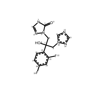 O=C1[N]C=NN1CC(O)(Cn1cncn1)c1ccc(F)cc1F